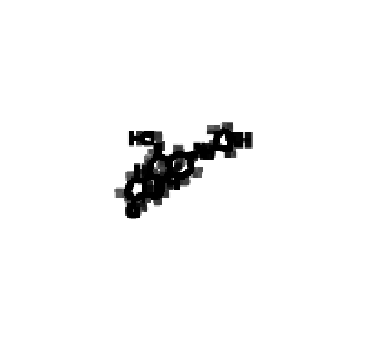 C=C1C[C@@H]2[C@H](CC[C@]3(C)C(=O)CC[C@@H]23)[C@@]2(C)CCC(=NO[C@@H]3CCNC3)CC12.Cl